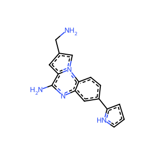 NCc1cc2c(N)nc3cc(-c4ccc[nH]4)ccc3n2c1